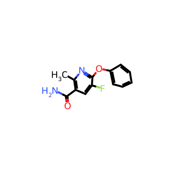 Cc1nc(Oc2ccccc2)c(F)cc1C(N)=O